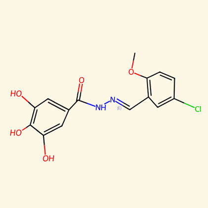 COc1ccc(Cl)cc1/C=N/NC(=O)c1cc(O)c(O)c(O)c1